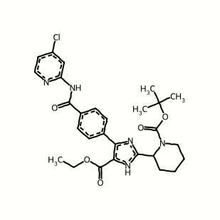 CCOC(=O)c1[nH]c(C2CCCCN2C(=O)OC(C)(C)C)nc1-c1ccc(C(=O)Nc2cc(Cl)ccn2)cc1